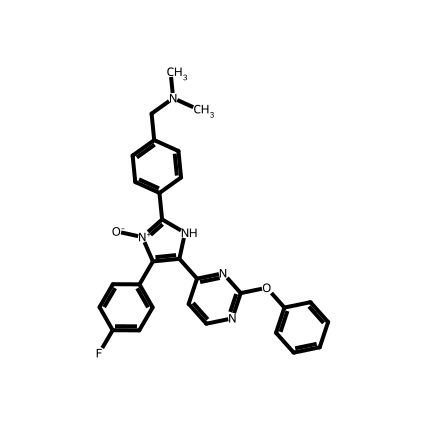 CN(C)Cc1ccc(-c2[nH]c(-c3ccnc(Oc4ccccc4)n3)c(-c3ccc(F)cc3)[n+]2[O-])cc1